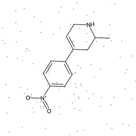 CC1CC(c2ccc([N+](=O)[O-])cc2)=CCN1